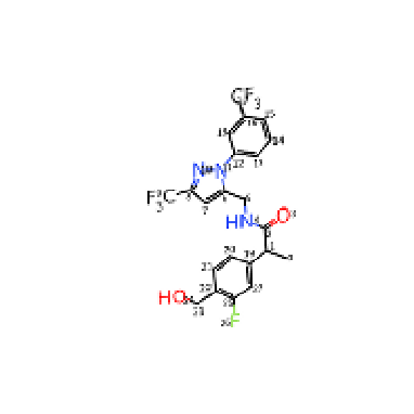 CC(C(=O)NCc1cc(C(F)(F)F)nn1-c1cccc(C(F)(F)F)c1)c1ccc(CO)c(F)c1